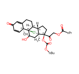 CCCCOC(=O)O[C@]1(C(=O)COC(=O)CCC)CC[C@H]2[C@@H]3CCC4=CC(=O)C=C[C@]4(C)[C@@]3(Cl)C(O)C[C@@]21C